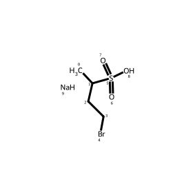 CC(CCBr)S(=O)(=O)O.[NaH]